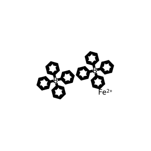 [Fe+2].c1ccc([B-](c2ccccc2)(c2ccccc2)c2ccccc2)cc1.c1ccc([B-](c2ccccc2)(c2ccccc2)c2ccccc2)cc1